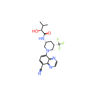 CC(C)[C@H](O)C(=O)N[C@@H]1C[C@H](C(F)(F)F)CN(c2ccc(C#N)c3nccnc23)C1